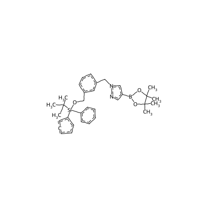 CC1(C)OB(c2cnn(Cc3cccc(CO[Si](c4ccccc4)(c4ccccc4)C(C)(C)C)c3)c2)OC1(C)C